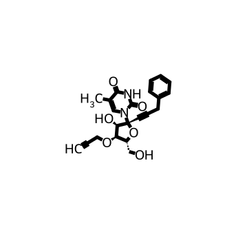 C#CCO[C@H]1[C@@H](O)[C@](C#CCc2ccccc2)(n2cc(C)c(=O)[nH]c2=O)O[C@@H]1CO